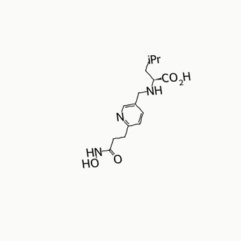 CC(C)C[C@H](NCc1ccc(CCC(=O)NO)nc1)C(=O)O